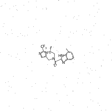 Cc1cccc2nc(C(=O)N3Cc4cnc(C(F)(F)F)n4[C@@H](C)C3)[nH]c12